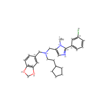 CCCCn1c(CN(CCC2CCCC2)Cc2ccc3c(c2)OCO3)cnc1-c1cccc(F)c1